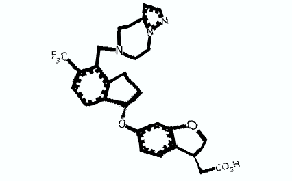 O=C(O)C[C@@H]1COc2cc(O[C@@H]3CCc4c3ccc(C(F)(F)F)c4CN3CCn4nccc4C3)ccc21